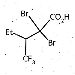 CCC(C(F)(F)F)C(Br)(Br)C(=O)O